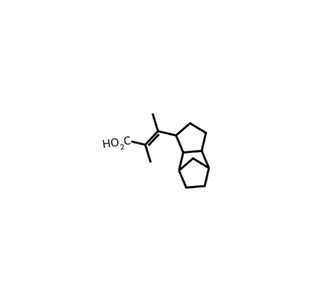 CC(C(=O)O)=C(C)C1CCC2C3CCC(C3)C12